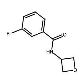 O=C(NC1COC1)c1cccc(Br)c1